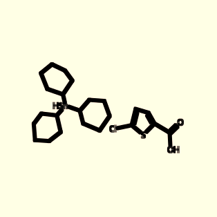 C1CC[CH]([SnH]([CH]2CCCCC2)[CH]2CCCCC2)CC1.O=C(O)c1ccc(Cl)s1